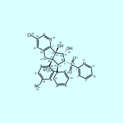 CC1([C@@H]2[C@@H](S(=O)(=O)c3ccccn3)[C@@H](O)[C@@]3(O)c4ncc(Cl)cc4O[C@@]23c2ccc(C#N)cc2)C=CC=CC1